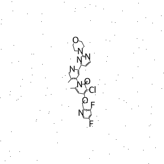 Cc1cnc(-c2ccnc(N3CCOCC3)n2)cc1-n1c(C)cc(OCc2ncc(F)cc2F)c(Cl)c1=O